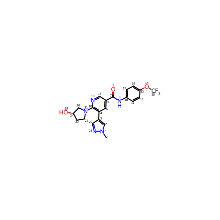 Cn1cc(-c2cc(C(=O)Nc3ccc(OC(F)(F)F)cc3)cnc2N2CC[C@@H](O)C2)cn1